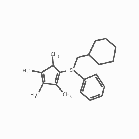 CC1=C(C)C(C)C([SiH](CC2CCCCC2)c2ccccc2)=C1C